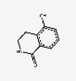 O=C1NCCc2c(O)cccc21